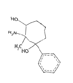 CC1(N)C(O)CCCC1(O)c1ccccc1